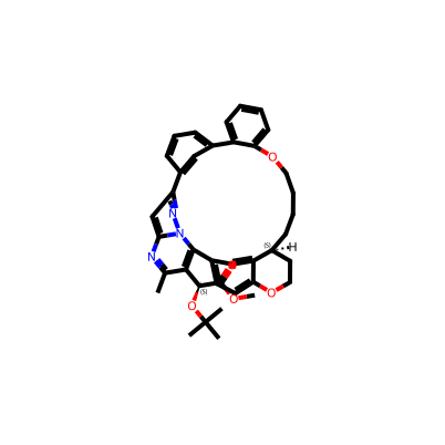 COC(=O)[C@@H](OC(C)(C)C)c1c(C)nc2cc3nn2c1-c1ccc2c(c1)[C@@H](CCCCOc1ccccc1-c1cccc-3c1)CCO2